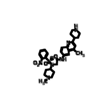 Cc1cc(C2CCNCC2)nc2ccc(NC(=O)CN(C3CCN(C)CC3)S(=O)(=O)c3ccccc3[N+](=O)[O-])cc12